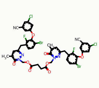 Cc1cc(Cc2ccc(Br)c(Oc3cc(Cl)cc(C#N)c3)c2F)nn(COC(=O)CCC(=O)OCn2nc(Cc3ccc(Br)c(Oc4cc(Cl)cc(C#N)c4)c3F)cc(C)c2=O)c1=O